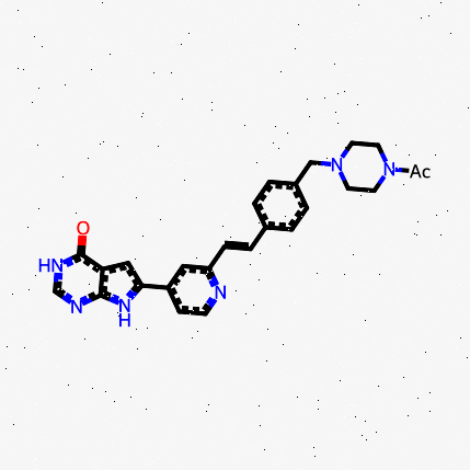 CC(=O)N1CCN(Cc2ccc(C=Cc3cc(-c4cc5c(=O)[nH]cnc5[nH]4)ccn3)cc2)CC1